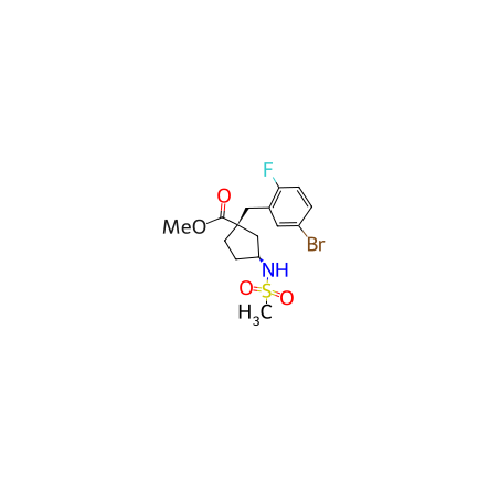 COC(=O)[C@@]1(Cc2cc(Br)ccc2F)CC[C@H](NS(C)(=O)=O)C1